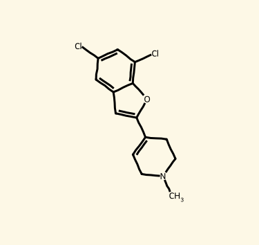 CN1CC=C(c2cc3cc(Cl)cc(Cl)c3o2)CC1